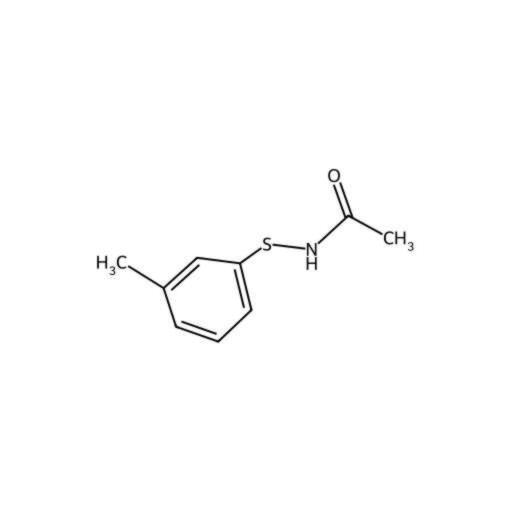 CC(=O)NSc1cccc(C)c1